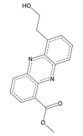 COC(=O)c1cccc2nc3c(CCO)cccc3nc12